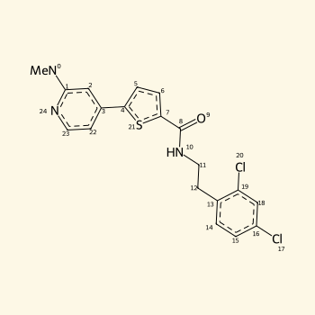 CNc1cc(-c2ccc(C(=O)NCCc3ccc(Cl)cc3Cl)s2)ccn1